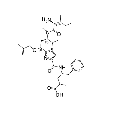 C=C(C)CO[C@H](C[C@H](C(C)C)N(C)C(=O)[C@@H](N)[C@@H](C)CC)c1nc(C(=O)NC(Cc2ccccc2)CC(C)C(=O)O)cs1